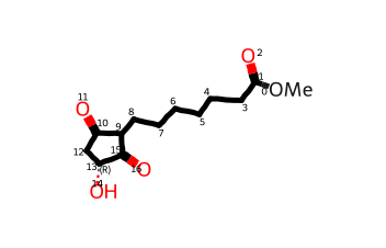 COC(=O)CCCCCCC1C(=O)C[C@@H](O)C1=O